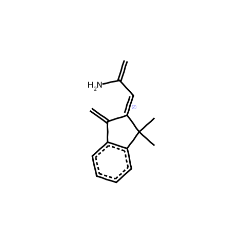 C=C(N)/C=C1\C(=C)c2ccccc2C1(C)C